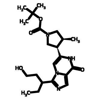 CCC(CCO)c1ncc2c(=O)[nH]c([C@@H]3CN(C(=O)OC(C)(C)C)C[C@H]3C)cn12